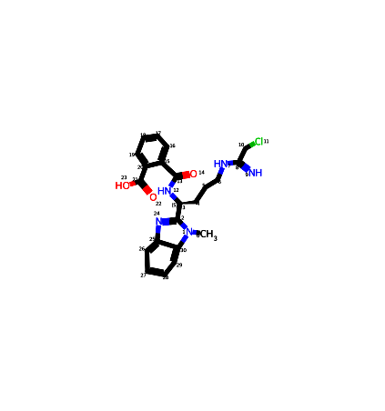 Cn1c([C@H](CCCNC(=N)CCl)NC(=O)c2ccccc2C(=O)O)nc2ccccc21